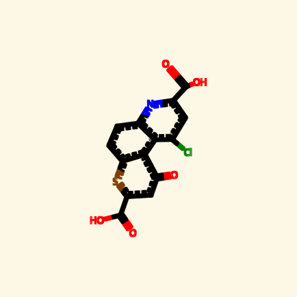 O=C(O)c1cc(Cl)c2c(ccc3sc(C(=O)O)cc(=O)c32)n1